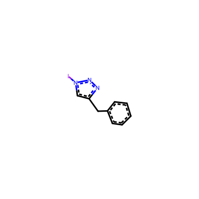 In1cc(Cc2ccccc2)nn1